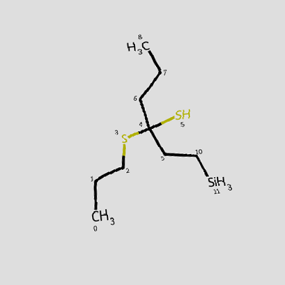 CCCSC(S)(CCC)CC[SiH3]